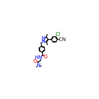 Cc1nn(Cc2ccc(C(=O)NCC(=O)N(C)C)cc2)c(C)c1-c1ccc(C#N)c(Cl)c1